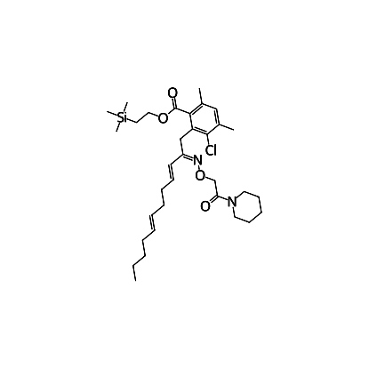 CCCC/C=C/CC/C=C/C(Cc1c(Cl)c(C)cc(C)c1C(=O)OCC[Si](C)(C)C)=NOCC(=O)N1CCCCC1